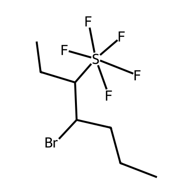 CCCC(Br)C(CC)S(F)(F)(F)(F)F